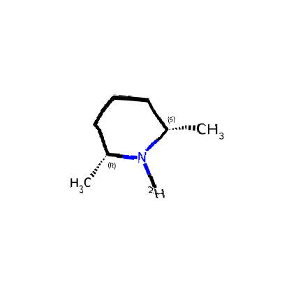 [2H]N1[C@H](C)CCC[C@@H]1C